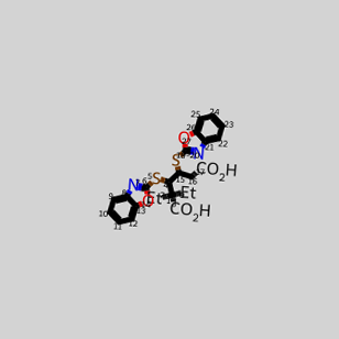 CCC(CC)(C(=O)O)C(Sc1nc2ccccc2o1)C(CC(=O)O)Sc1nc2ccccc2o1